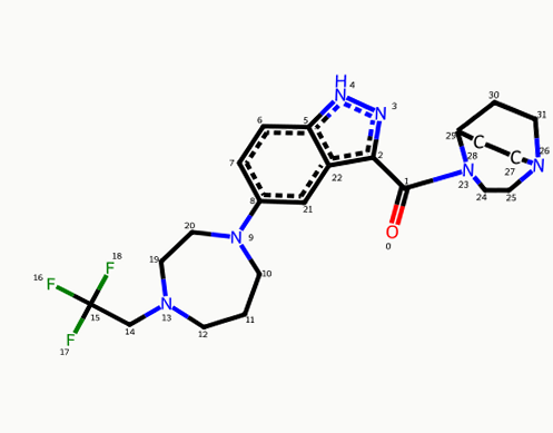 O=C(c1n[nH]c2ccc(N3CCCN(CC(F)(F)F)CC3)cc12)N1CCN2CCC1CC2